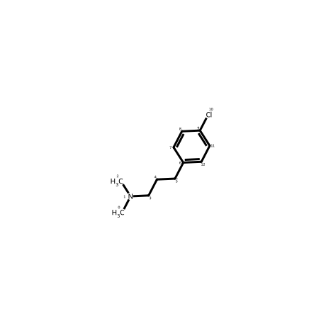 CN(C)CC[CH]c1ccc(Cl)cc1